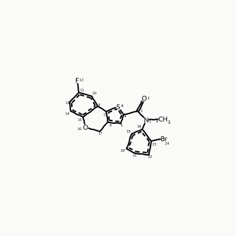 CN(C(=O)c1cc2c(s1)-c1cc(F)ccc1OC2)c1ccccc1Br